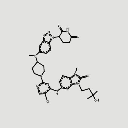 CN(c1ccc2c(c1)nnn2C1CCC(=O)NC1=O)C1CCN(c2ncc(Cl)c(Nc3ccc4c(c3)n(CCC(C)(C)O)c(=O)n4C)n2)CC1